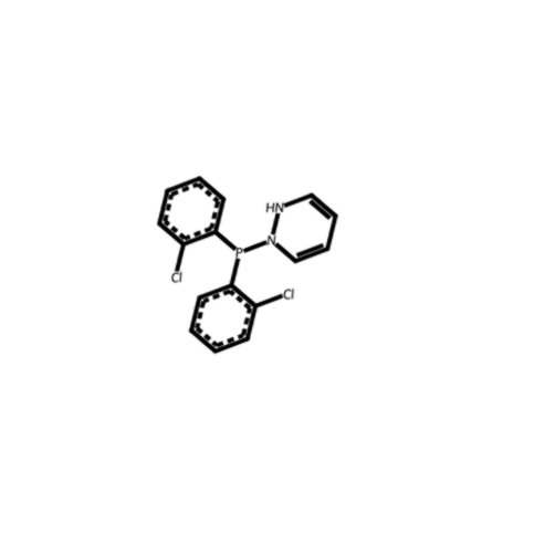 Clc1ccccc1P(c1ccccc1Cl)N1C=CC=CN1